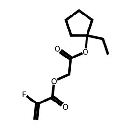 C=C(F)C(=O)OCC(=O)OC1(CC)CCCC1